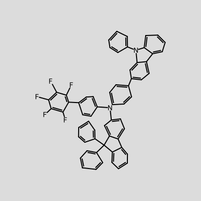 Fc1c(F)c(F)c(-c2ccc(N(c3ccc(-c4ccc5c6ccccc6n(-c6ccccc6)c5c4)cc3)c3ccc4c(c3)C(c3ccccc3)(c3ccccc3)c3ccccc3-4)cc2)c(F)c1F